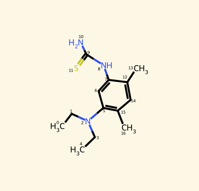 CCN(CC)c1cc(NC(N)=S)c(C)cc1C